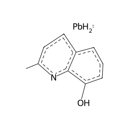 Cc1ccc2cccc(O)c2n1.[PbH2]